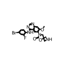 COc1cc2ncnc(Nc3ccc(Br)cc3F)c2cc1N1CC2(CNC2)OC1=O